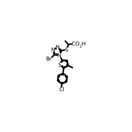 Cc1cc(-n2c(Br)nnc2SC(C)C(=O)O)sc1-c1ccc(Cl)cc1